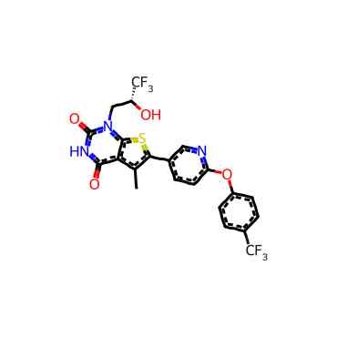 Cc1c(-c2ccc(Oc3ccc(C(F)(F)F)cc3)nc2)sc2c1c(=O)[nH]c(=O)n2C[C@@H](O)C(F)(F)F